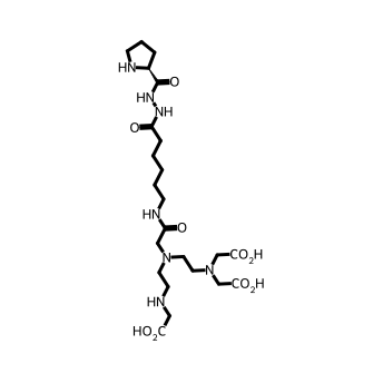 O=C(O)CNCCN(CCN(CC(=O)O)CC(=O)O)CC(=O)NCCCCCC(=O)NNC(=O)[C@@H]1CCCN1